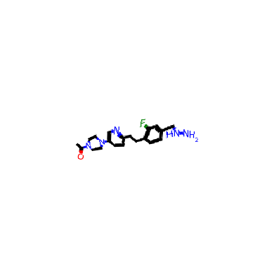 CC(=O)N1CCN(c2ccc(CCc3ccc(CNN)cc3F)nc2)CC1